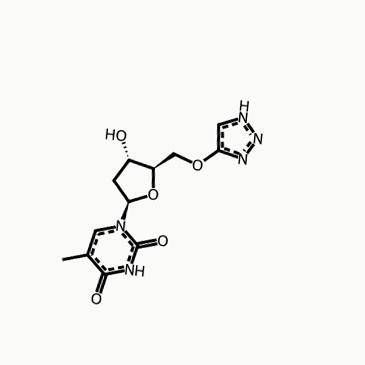 Cc1cn([C@H]2C[C@H](O)[C@@H](COc3c[nH]nn3)O2)c(=O)[nH]c1=O